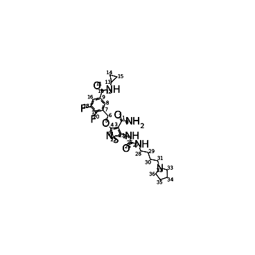 NC(=O)c1c(OCc2cc(C(=O)NC3CC3)cc(F)c2F)nsc1NC(=O)NCCCCN1CCCC1